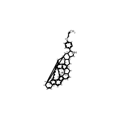 C=CCOc1ccc(C2NCC3C4Cc5c6c7c8c9c5C4C4C5=c9c9c%10c%11c(c%12ccc%13c%14c(c(c89)c%13c%12%10)[C@@H]7C(C=C%14)C6)C=CC(C5%11)C4C23)cc1